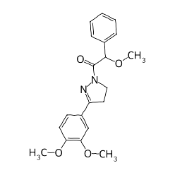 COc1ccc(C2=NN(C(=O)C(OC)c3ccccc3)CC2)cc1OC